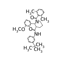 COc1cccc(C2C(C(=O)Nc3cccc(C(C)(C)C)c3)CCCN2C(=O)c2c(C)cccc2C)c1